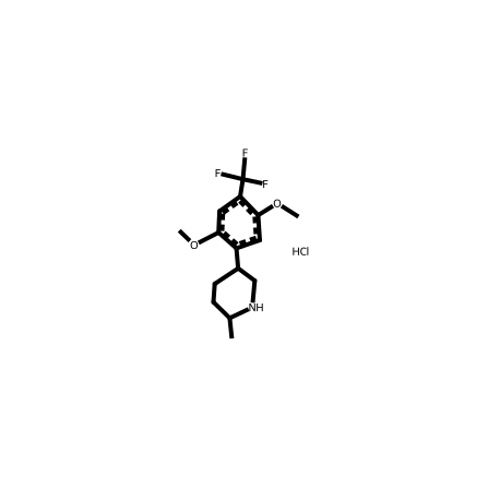 COc1cc(C(F)(F)F)c(OC)cc1C1CCC(C)NC1.Cl